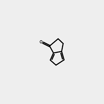 O=C1CCC2=CCC=C12